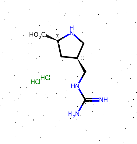 Cl.Cl.N=C(N)NC[C@@H]1CN[C@H](C(=O)O)C1